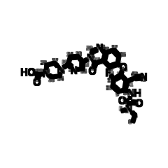 CCN(C)S(=O)(=O)Nc1ccc(F)c(Oc2ccc3ncn(-c4ccc(N5CCN(C(=O)O)CC5)nc4)c(=O)c3c2)c1C#N